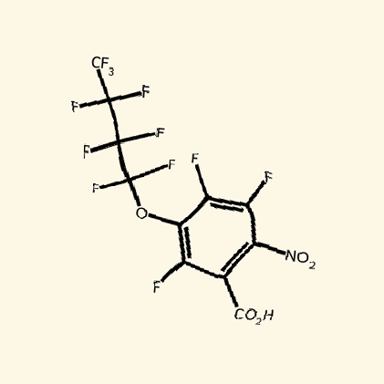 O=C(O)c1c(F)c(OC(F)(F)C(F)(F)C(F)(F)C(F)(F)F)c(F)c(F)c1[N+](=O)[O-]